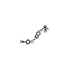 CCS(=O)(=O)CCCN1CC2CN(CCOc3ccc(C#N)cc3)CC2C1